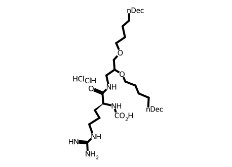 CCCCCCCCCCCCCCOCC(CNC(=O)[C@H](CCCNC(=N)N)NC(=O)O)OCCCCCCCCCCCCCC.Cl.Cl